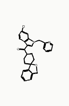 O=C(c1cn(Cc2ccccn2)c2cc(Cl)ccc12)C1CCC2(CC1)OCc1ccccc12